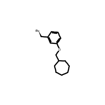 CC[C@H](C)Cc1cccc(OCC2CCCCCC2)c1